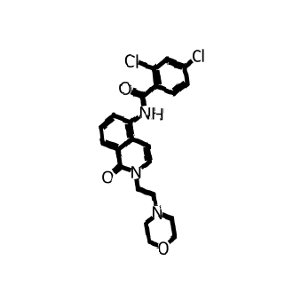 O=C(Nc1cccc2c(=O)n(CCN3CCOCC3)ccc12)c1ccc(Cl)cc1Cl